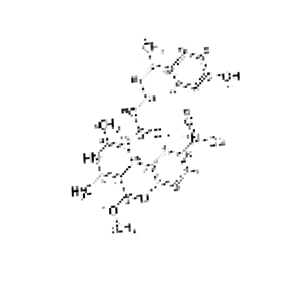 COC(=O)C1=C(C)NC(C)=C(C(=O)OCC=C(C)c2ccc(O)cc2)C1c1cccc([N+](=O)[O-])c1